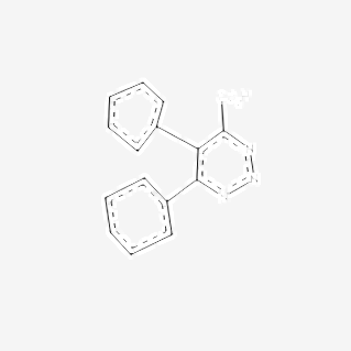 O=C(O)c1nnnc(-c2ccccc2)c1-c1ccccc1